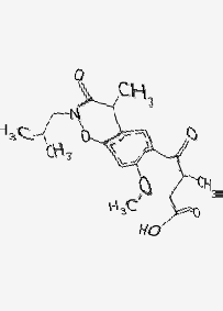 COc1cc2c(cc1C(=O)C(C)CC(=O)O)C(C)C(=O)N(CC(C)C)O2